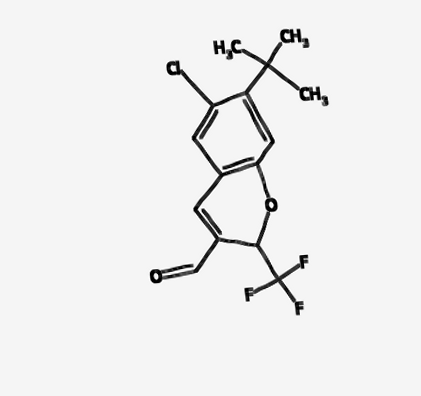 CC(C)(C)c1cc2c(cc1Cl)C=C(C=O)C(C(F)(F)F)O2